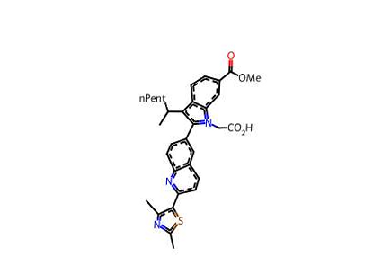 CCCCCC(C)c1c(-c2ccc3nc(-c4sc(C)nc4C)ccc3c2)n(CC(=O)O)c2cc(C(=O)OC)ccc12